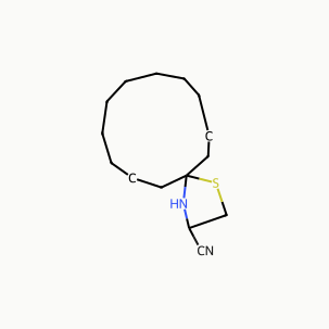 N#CC1CSC2(CCCCCCCCCCC2)N1